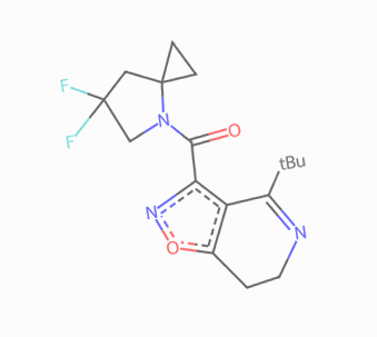 CC(C)(C)C1=NCCc2onc(C(=O)N3CC(F)(F)CC34CC4)c21